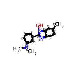 Cc1ccc2nc(-c3cccc(N(C)C)c3)n(O)c2c1